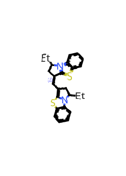 CCC1CC(/C=C2/CC(CC)[n+]3c2sc2ccccc23)=C2Sc3ccccc3N21